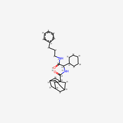 O=C(NCCCc1ccccc1)C(NC(=O)C12CC3CC(CC(C3)C1)C2)C1CCCCC1